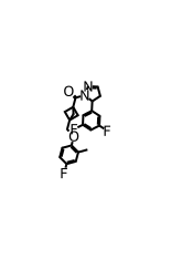 Cc1cc(F)ccc1OCC12CC(C(=O)N3N=CCC3c3cc(F)cc(F)c3)(C1)C2